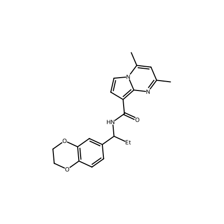 CCC(NC(=O)c1ccn2c(C)cc(C)nc12)c1ccc2c(c1)OCCO2